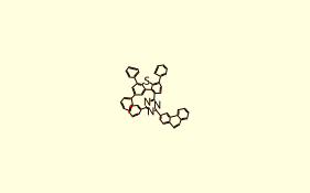 c1ccc(-c2cc(-c3ccccc3)c3sc4c(-c5ccccc5)ccc(-c5nc(-c6ccccc6)nc(-c6ccc7ccc8ccccc8c7c6)n5)c4c3c2)cc1